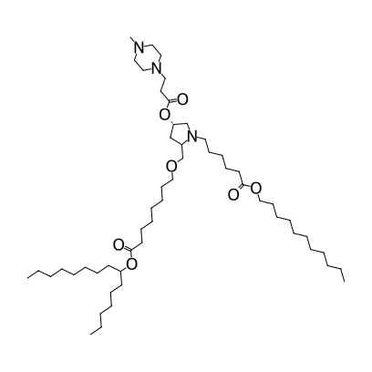 CCCCCCCCCCCOC(=O)CCCCCN1C[C@@H](OC(=O)CCN2CCN(C)CC2)CC1COCCCCCCCC(=O)OC(CCCCCC)CCCCCCCC